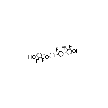 Oc1ccc(COC2CCC(c3ccc(-c4ccc(O)c(F)c4F)c(F)c3F)CC2)c(F)c1F